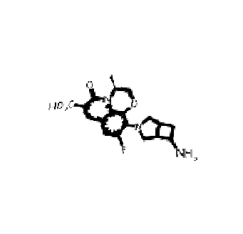 C[C@H]1COc2c(N3CC4CC(N)C4C3)c(F)cc3cc(C(=O)O)c(=O)n1c23